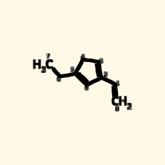 C=CC1=CCC(CC)=C1